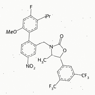 COc1cc(F)c(C(C)C)cc1-c1ccc([N+](=O)[O-])cc1CN1C(=O)OC(c2cc(C(F)(F)F)cc(C(F)(F)F)c2)C1C